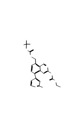 CCNC(=O)Nc1cc2c(-c3ccnc(C)c3)ccc(CNC(=O)OC(C)(C)C)c2cn1